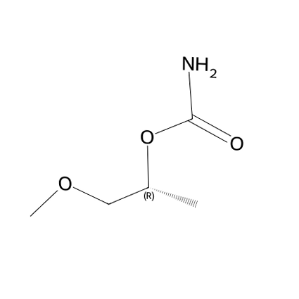 COC[C@@H](C)OC(N)=O